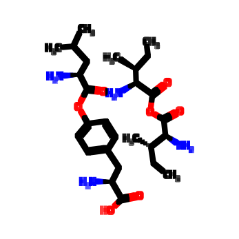 CC(C)C[C@H](N)C(=O)Oc1ccc(C[C@H](N)C(=O)O)cc1.CC[C@H](C)[C@H](N)C(=O)OC(=O)[C@@H](N)[C@@H](C)CC